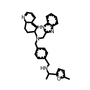 Cc1ccc(C(C)NCc2ccc(CN(Cc3nc4ccccc4[nH]3)C3C=C4C=CC=NC4CC3)cc2)o1